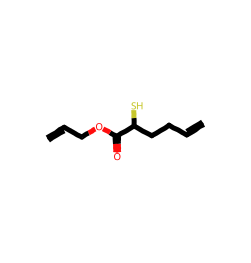 C=CCCC(S)C(=O)OCC=C